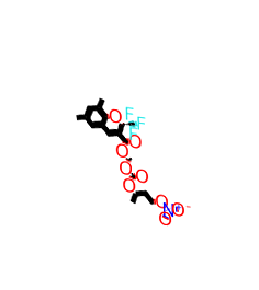 Cc1cc(C)c2c(c1)C=C(C(=O)OCOC(=O)OC(C)CCO[N+](=O)[O-])[C@@H](C(F)(F)F)O2